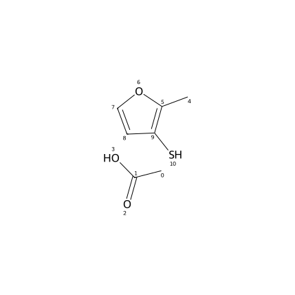 CC(=O)O.Cc1occc1S